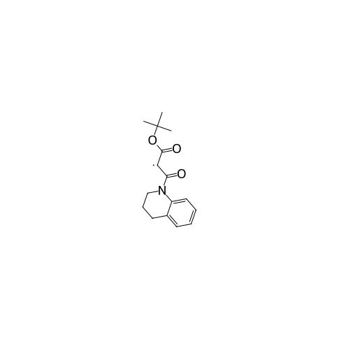 CC(C)(C)OC(=O)[CH]C(=O)N1CCCc2ccccc21